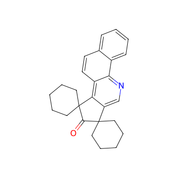 O=C1C2(CCCCC2)c2cnc3c(ccc4ccccc43)c2C12CCCCC2